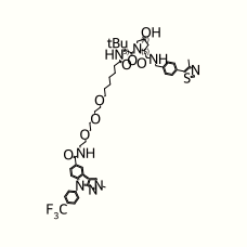 Cc1ncsc1-c1ccc(CNC(=O)[C@@H]2C[C@@H](O)CN2C(=O)[C@@H](NC(=O)CCCCCCOCCOCCOCCNC(=O)c2ccc3c(c2)c2cn(C)nc2n3-c2ccc(C(F)(F)F)cc2)C(C)(C)C)cc1